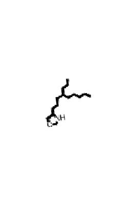 CCCCCC(CCC)CCCC1COCN1